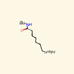 CCCCCCCCCCCCCC(=O)NC(C)CC